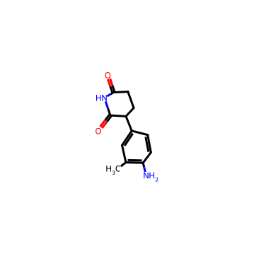 Cc1cc(C2CCC(=O)NC2=O)ccc1N